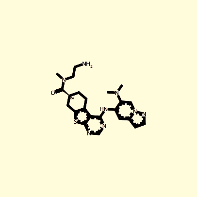 CN(CCN)C(=O)[C@H]1CCc2c(sc3ncnc(Nc4cc5ccnn5cc4N(C)C)c23)C1